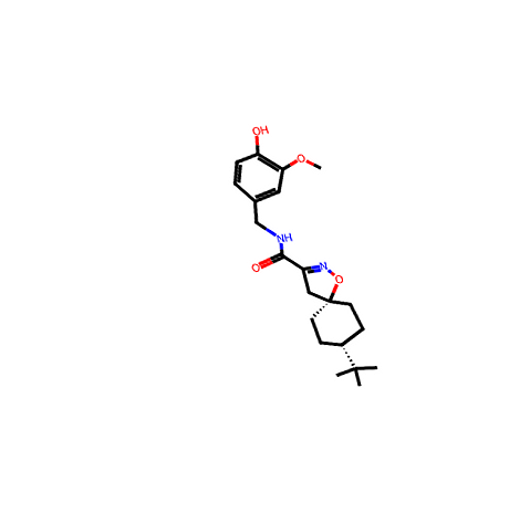 COc1cc(CNC(=O)C2=NO[C@]3(CC[C@@H](C(C)(C)C)CC3)C2)ccc1O